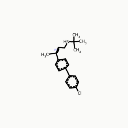 C/C(=C/CNC(C)(C)C)c1ccc(-c2ccc(Cl)cc2)cc1